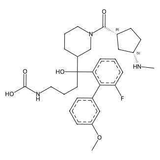 CN[C@H]1CC[C@@H](C(=O)N2CCCC(C(O)(CCCNC(=O)O)c3cccc(F)c3-c3cccc(OC)c3)C2)C1